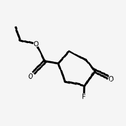 CCOC(=O)C1CCC(=O)C(F)C1